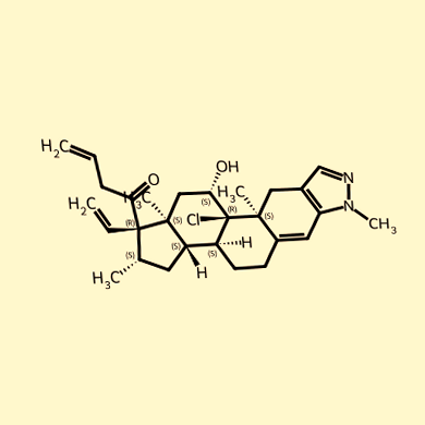 C=CCC(=O)[C@@]1(C=C)[C@@H](C)C[C@H]2[C@@H]3CCC4=Cc5c(cnn5C)C[C@]4(C)[C@@]3(Cl)[C@@H](O)C[C@@]21C